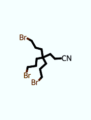 N#CCCC(CCCBr)(CCCBr)CCCBr